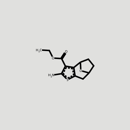 CCOC(=O)c1c(N)sc2c1C1CCC(C2)O1